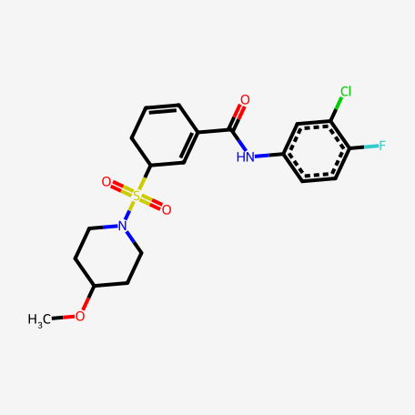 COC1CCN(S(=O)(=O)C2C=C(C(=O)Nc3ccc(F)c(Cl)c3)C=CC2)CC1